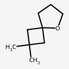 CC1(C)CC2(CCCO2)C1